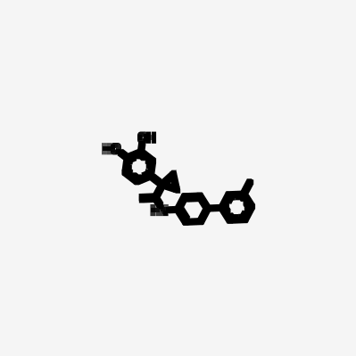 C=C(NC1=CCC(c2cccc(C)c2)C=C1)C1(c2ccc(O)c(O)c2)CC1